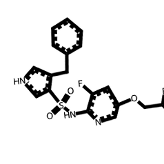 O=S(=O)(Nc1ncc(OCC(F)F)cc1F)c1c[nH]cc1Cc1ccccc1